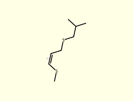 CS/C=C\CSCC(C)C